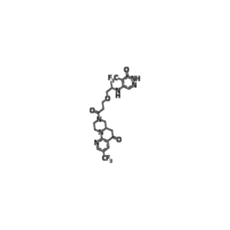 CC(COCCC(=O)N1CCN2c3ncc(C(F)(F)F)cc3C(=O)CC2C1)Nc1cn[nH]c(=O)c1C(F)(F)F